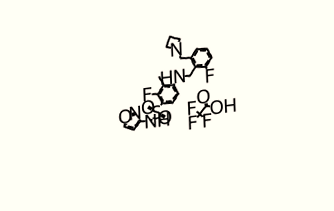 Cc1c(NCc2c(F)cccc2CN2CCC2)ccc(S(=O)(=O)Nc2ccon2)c1F.O=C(O)C(F)(F)F